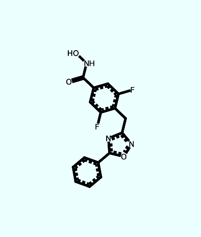 O=C(NO)c1cc(F)c(Cc2noc(-c3ccccc3)n2)c(F)c1